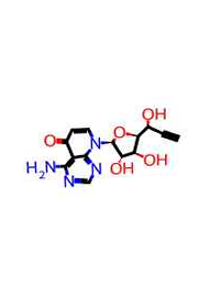 C#C[C@H](O)[C@@H]1O[C@H](n2ccc(=O)c3c(N)ncnc32)[C@@H](O)[C@@H]1O